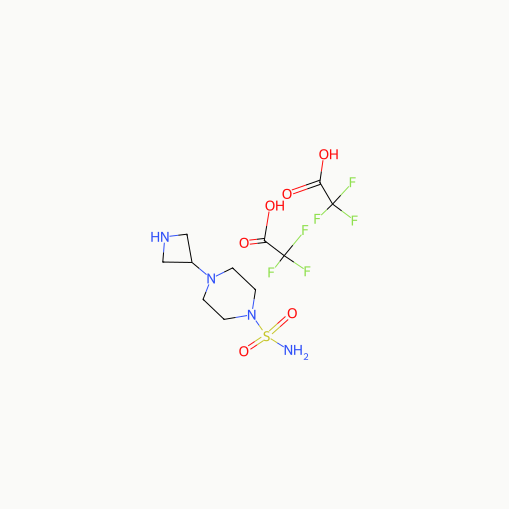 NS(=O)(=O)N1CCN(C2CNC2)CC1.O=C(O)C(F)(F)F.O=C(O)C(F)(F)F